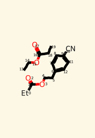 CCC(=O)OCCc1ccc(C#N)cc1.CCOC(=O)CC